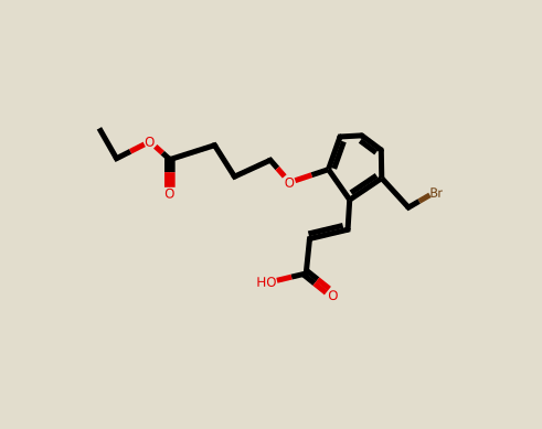 CCOC(=O)CCCOc1cccc(CBr)c1/C=C/C(=O)O